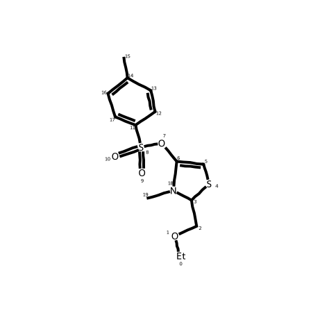 CCOCC1SC=C(OS(=O)(=O)c2ccc(C)cc2)N1C